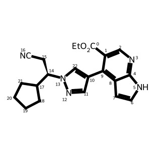 CCOC(=O)c1cnc2[nH]ccc2c1-c1cnn([C@H](CC#N)C2CCCC2)c1